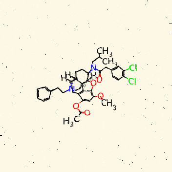 COc1cc(OC(C)=O)c2c3c1O[C@H]1[C@H](N(CC(C)C)C(=O)Cc4ccc(Cl)c(Cl)c4)CC[C@H]4[C@@H](C2)N(CCc2ccccc2)CC[C@@]341